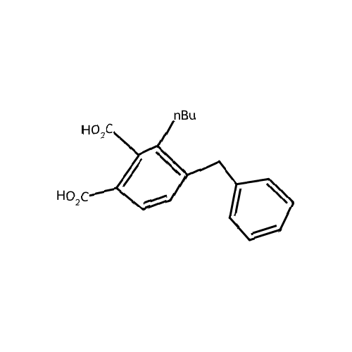 CCCCc1c(Cc2ccccc2)ccc(C(=O)O)c1C(=O)O